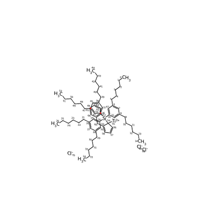 CCCCCCc1cc(CCCCCC)cc([Si](c2cc(CCCCCC)cc(CCCCCC)c2)(c2cc(CCCCCC)cc(CCCCCC)c2)[C]2([Ti+3])C=CC=C2Cc2ccccc2)c1.[Cl-].[Cl-].[Cl-]